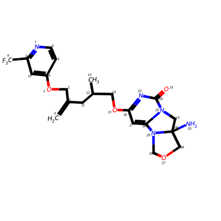 C=C(COc1ccnc(C(F)(F)F)c1)CC(C)COc1cc2n(c(=O)n1)CC1(N)COCN21